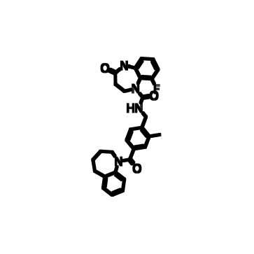 Cc1cc(C(=O)N2CCCCc3ccccc32)ccc1CNC(=O)N1CCC(=O)[N]c2cccc(F)c21